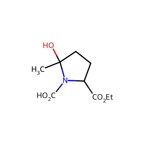 CCOC(=O)C1CCC(C)(O)N1C(=O)O